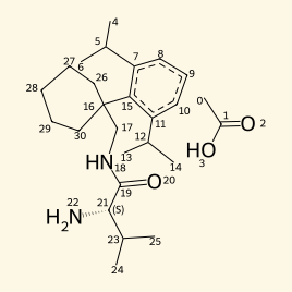 CC(=O)O.CC(C)c1cccc(C(C)C)c1C1(CNC(=O)[C@@H](N)C(C)C)CCCCC1